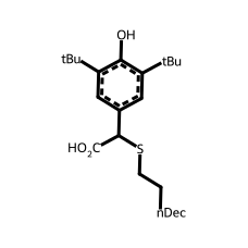 CCCCCCCCCCCCSC(C(=O)O)c1cc(C(C)(C)C)c(O)c(C(C)(C)C)c1